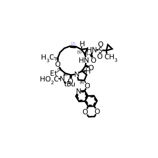 CC[C@@H]1O[C@H](C)CC/C=C\[C@@H]2C[C@@]2(C(=O)NS(=O)(=O)C2(C)CC2)NC(=O)[C@@H]2C[C@@H](Oc3nccc4c5c(ccc34)OCCO5)CN2C(=O)[C@H]1N(C(=O)O)C(C)(C)C